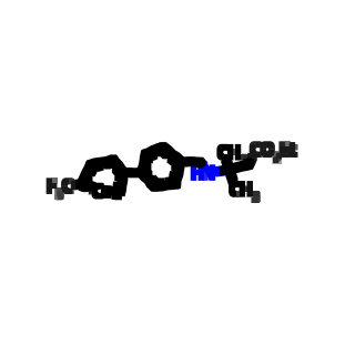 CCOC(=O)CC(C)(C)NCc1ccc(-c2ccc(C(F)(F)F)cc2)cc1